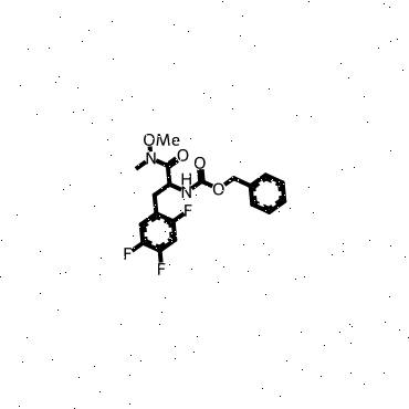 CON(C)C(=O)C(Cc1cc(F)c(F)cc1F)NC(=O)OCc1ccccc1